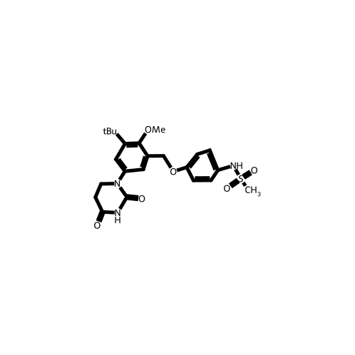 COc1c(COc2ccc(NS(C)(=O)=O)cc2)cc(N2CCC(=O)NC2=O)cc1C(C)(C)C